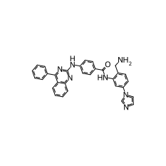 NCc1ccc(-n2ccnc2)cc1NC(=O)c1ccc(Nc2nc(-c3ccccc3)c3ccccc3n2)cc1